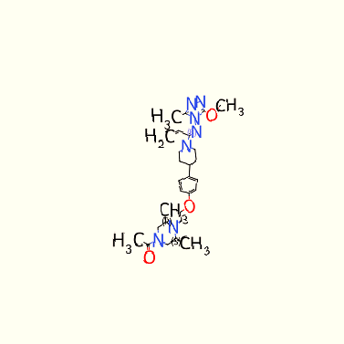 C=C/C(=N\n1c(C)nnc1OC)N1CCC(c2ccc(OCCN3[C@H](C)CN(C(C)=O)C[C@@H]3C)cc2)CC1